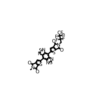 CN1C(=O)c2cc(-c3c4c(c(-c5cc6c(s5)C(=O)N(CC(F)(F)C(F)(F)C(F)(F)F)C6=O)c5nsnc35)N=S=N4)sc2C1=O